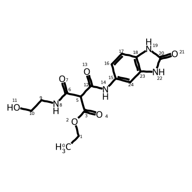 CCOC(=O)C(C(=O)NCCO)C(=O)Nc1ccc2[nH]c(=O)[nH]c2c1